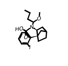 CCCC(OC)N(C(=O)O)[C@H]1CC2CC[C@@]1(c1ccccc1I)C2